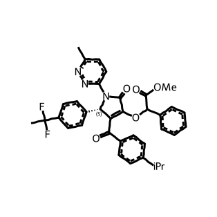 COC(=O)C(OC1=C(C(=O)c2ccc(C(C)C)cc2)[C@H](c2ccc(C(C)(F)F)cc2)N(c2ccc(C)nn2)C1=O)c1ccccc1